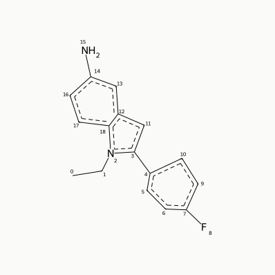 CCn1c(-c2ccc(F)cc2)cc2cc(N)ccc21